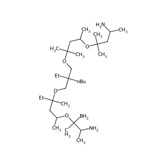 BC(C)(OC(C)CC(C)(CC)OCC(CC)(CCCC)COC(C)(C)CC(C)OC(C)(C)CC(C)N)C(C)N